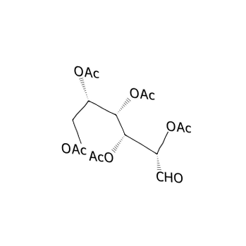 CC(=O)OC[C@H](OC(C)=O)[C@H](OC(C)=O)[C@@H](OC(C)=O)[C@@H](C=O)OC(C)=O